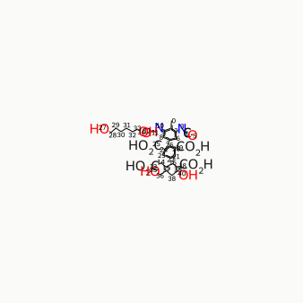 Cc1c(N=C=O)cccc1N=C=O.O=C(O)CCCCC(=O)O.O=C(O)c1cccc(C(=O)O)c1.OCCCCCCO.OCCCCO